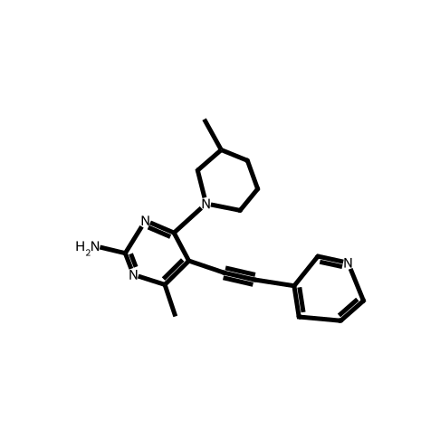 Cc1nc(N)nc(N2CCCC(C)C2)c1C#Cc1cccnc1